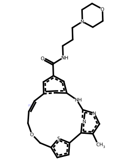 Cc1cnc2nc1-c1ccc(s1)COC/C=C\c1cc(cc(C(=O)NCCCN3CCOCC3)c1)N2